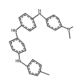 Cc1ccc(Nc2ccc(Nc3ccc(Nc4ccc(N(C)C)cc4)cc3)cc2)cc1